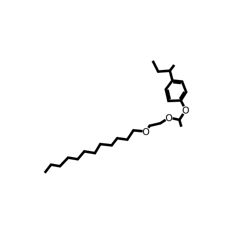 CCCCCCCCCCCCOCCOC(C)Oc1ccc(C(C)CC)cc1